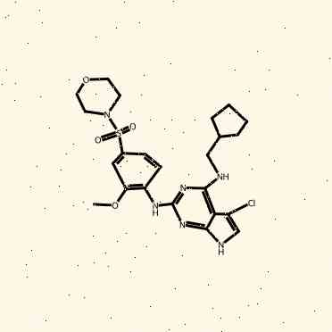 COc1cc(S(=O)(=O)N2CCOCC2)ccc1Nc1nc(NCC2CCCC2)c2c(Cl)c[nH]c2n1